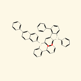 c1ccc(-c2ccc3cc(N(c4ccc5c(c4)c4c(-c6ccccc6)cccc4n5-c4ccccc4)c4ccccc4-c4ccccc4)ccc3c2)cc1